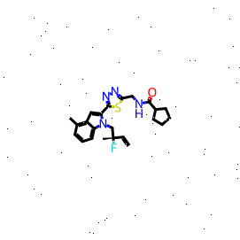 C=C[C@](C)(F)Cn1c(-c2nnc(CNC(=O)C3CCCC3)s2)cc2c(C)cccc21